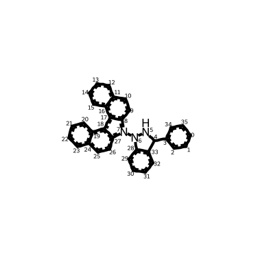 c1ccc(C2NN(n3c4ccc5ccccc5c4c4c5ccccc5ccc43)c3ccccc32)cc1